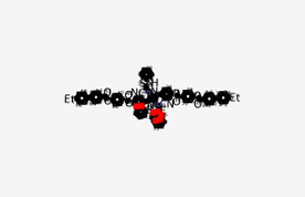 CCC1CCC(C2CCC(C(=O)O[C@H]3CC[C@H](C(=O)Oc4ccc(-c5[nH]/c(=C(/C#N)c6nc7ccccc7s6)c6c(-c7ccc(OC(=O)[C@H]8CC[C@H](OC(=O)C9CCC(C%10CCC(CC)CC%10)CC9)CC8)cc7)n(B(c7ccccc7)c7ccccc7)/c(=C(/C#N)c7nc8ccccc8s7)c56)cc4)CC3)CC2)CC1